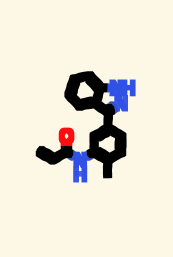 C=CC(=O)Nc1cc(-c2n[nH]c3ccccc23)ccc1C